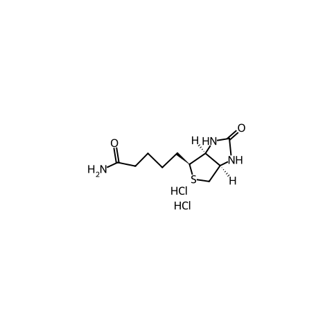 Cl.Cl.NC(=O)CCCC[C@@H]1SC[C@@H]2NC(=O)N[C@@H]21